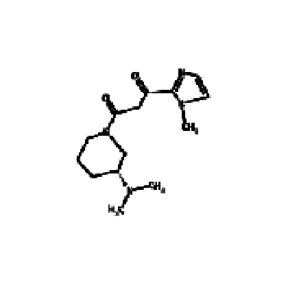 CN(C)[C@@H]1CCCN(C(=O)CC(=O)c2nccn2C)C1